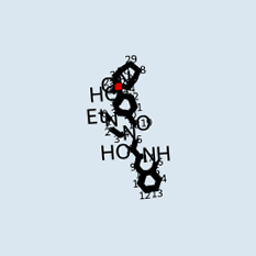 CCN1CCN(CC(O)C2Cc3ccccc3CN2)C(=O)c2ccc(C(=O)N3C4CCC3CC(O)C4)cc21